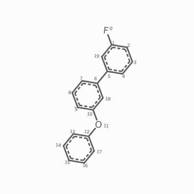 Fc1cccc(-c2cc[c]c(Oc3ccccc3)c2)c1